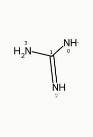 [NH]C(=N)N